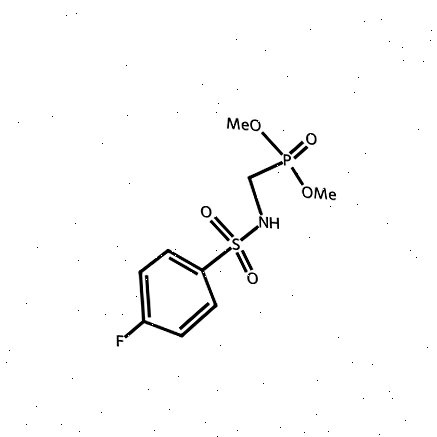 COP(=O)(CNS(=O)(=O)c1ccc(F)cc1)OC